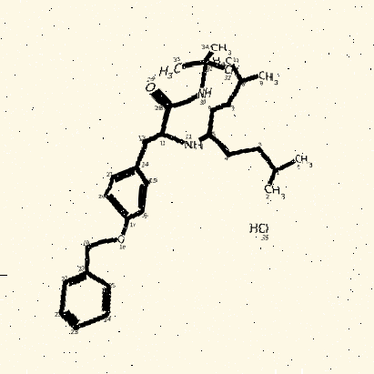 CC(C)CCC(CCC(C)C)NC(Cc1ccc(OCc2ccccc2)cc1)C(=O)NC(C)(C)C.Cl